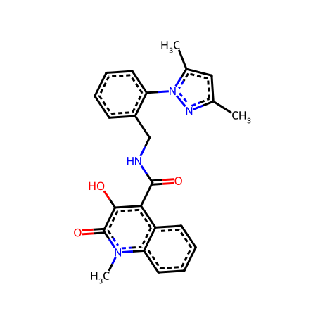 Cc1cc(C)n(-c2ccccc2CNC(=O)c2c(O)c(=O)n(C)c3ccccc23)n1